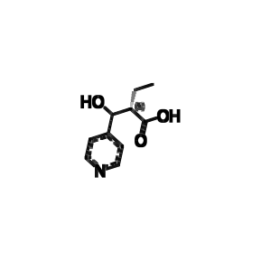 CC[C@H](C(=O)O)C(O)c1ccncc1